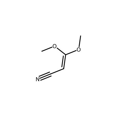 COC(=CC#N)OC